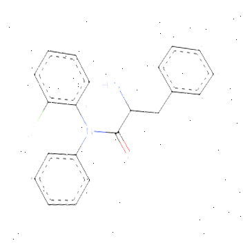 NC(Cc1ccccc1)C(=O)N(c1ccccc1)c1ccccc1F